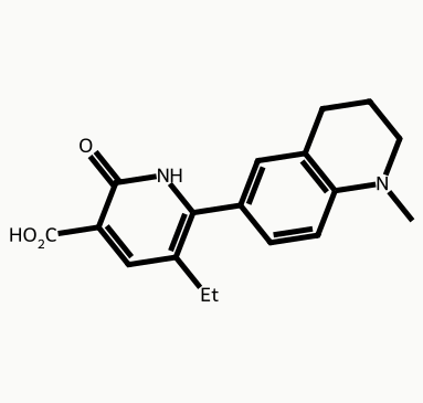 CCc1cc(C(=O)O)c(=O)[nH]c1-c1ccc2c(c1)CCCN2C